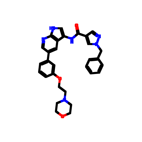 O=C(Nc1c[nH]c2ncc(-c3cccc(OCCN4CCOCC4)c3)cc12)c1cnn(Cc2ccccc2)c1